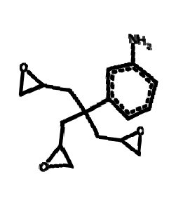 Nc1cccc(C(CC2CO2)(CC2CO2)CC2CO2)c1